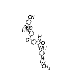 CN1CCN(c2ccc(NC=C3C(=O)Nc4cc(C(=O)c5cccc(NS(=O)(=O)c6ccc(C#N)cc6)c5)ccc43)cc2)CC1